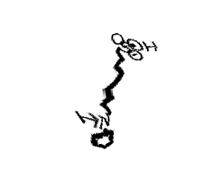 O=S(=O)(O)CCCCCCCCNc1ccccc1